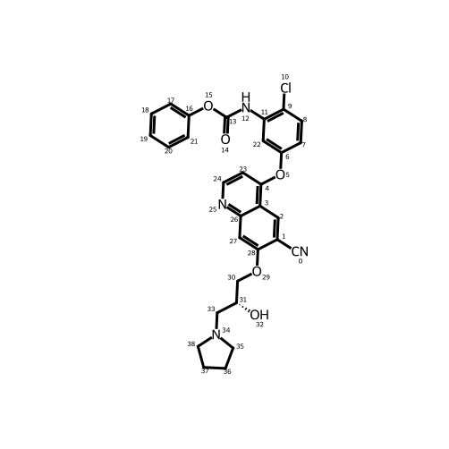 N#Cc1cc2c(Oc3ccc(Cl)c(NC(=O)Oc4ccccc4)c3)ccnc2cc1OC[C@H](O)CN1CCCC1